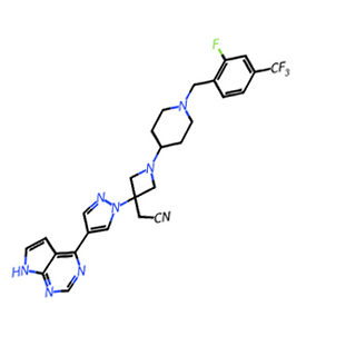 N#CCC1(n2cc(-c3ncnc4[nH]ccc34)cn2)CN(C2CCN(Cc3ccc(C(F)(F)F)cc3F)CC2)C1